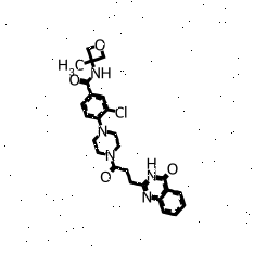 CC1(NC(=O)c2ccc(N3CCN(C(=O)CCc4nc5ccccc5c(=O)[nH]4)CC3)c(Cl)c2)COC1